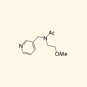 COCCN(Cc1cccnc1)C(C)=O